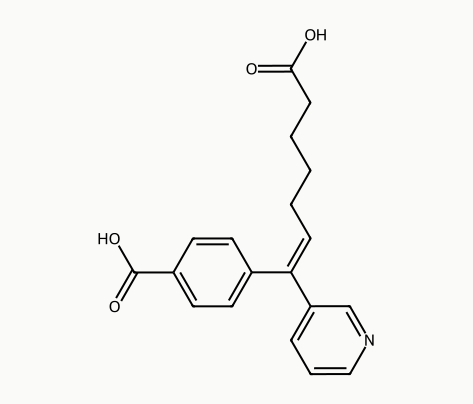 O=C(O)CCCC/C=C(\c1ccc(C(=O)O)cc1)c1cccnc1